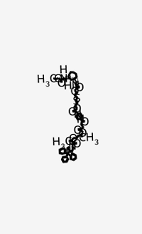 CCOC(=O)NC[C@H]1CCCCC[C@@H](CNC(=O)OCCSSCCOC(=O)N2CCN(C(=O)CCC(=O)OC(C)CCOC(C)C(=O)N3CCN(C(c4ccccc4)(c4ccccc4)c4ccccc4)CC3)CC2)C1